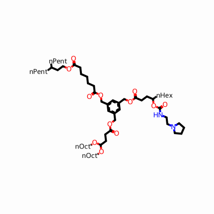 CCCCCCCCOC(CCC(=O)OCc1cc(COC(=O)CCCCCC(=O)OCCC(CCCCC)CCCCC)cc(COC(=O)CCC(CCCCCC)OC(=O)NCCN2CCCC2)c1)OCCCCCCCC